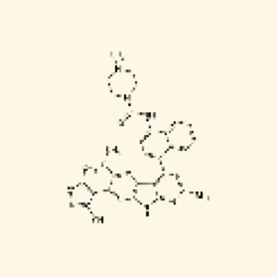 COc1cc2c(cc1-c1c(C)noc1C)[nH]c1nc(C)nc(-c3ccc(NC(=O)N4CCN(C)CC4)c4ccccc34)c12